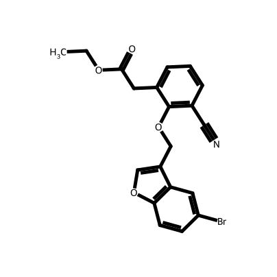 CCOC(=O)Cc1cccc(C#N)c1OCc1coc2ccc(Br)cc12